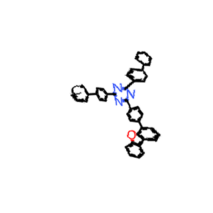 c1ccc(-c2ccc(-c3nc(-c4ccc(-c5ccccc5)cc4)nc(-c4ccc(-c5cccc6c5oc5ccccc56)cc4)n3)cc2)cc1